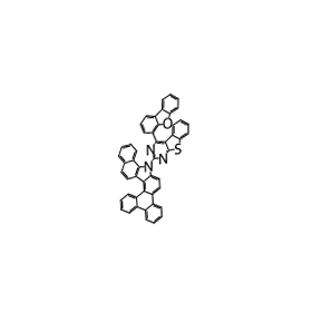 c1ccc2c(c1)ccc1c3c4c5ccccc5c5ccccc5c4ccc3n(-c3nc(-c4cccc5c4oc4ccccc45)c4c(n3)sc3ccccc34)c21